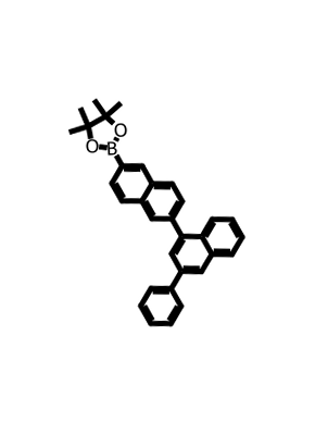 CC1(C)OB(c2ccc3cc(-c4cc(-c5ccccc5)cc5ccccc45)ccc3c2)OC1(C)C